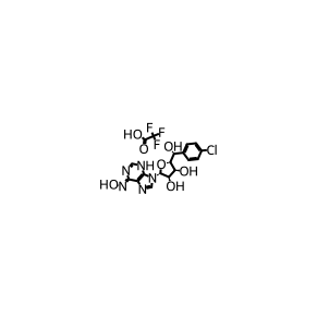 O/N=c1\nc[nH]c2c1ncn2[C@@H]1O[C@H]([C@H](O)c2ccc(Cl)cc2)[C@@H](O)[C@H]1O.O=C(O)C(F)(F)F